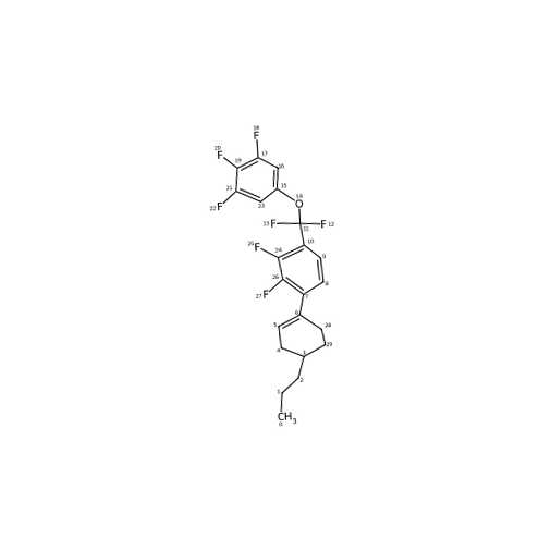 CCCC1CC=C(c2ccc(C(F)(F)Oc3cc(F)c(F)c(F)c3)c(F)c2F)CC1